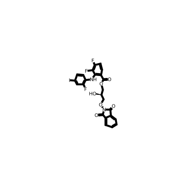 O=C(OC[C@H](O)CON1C(=O)c2ccccc2C1=O)c1ccc(F)c(F)c1Nc1ccc(I)cc1F